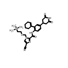 C[Si](C)(C)CCOCn1cc(C#N)nc1C(=O)Nc1ccc(C2CC(=O)NC(=O)C2)cc1C1=CCCCC1